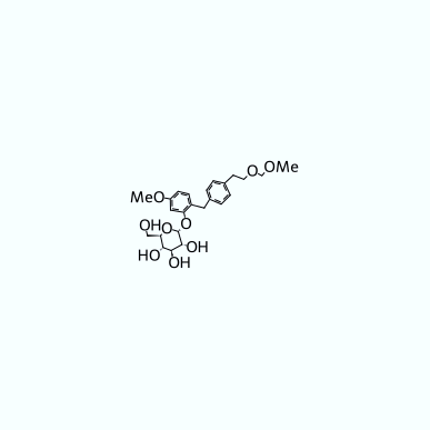 COCOCCc1ccc(Cc2ccc(OC)cc2O[C@H]2O[C@H](CO)[C@@H](O)[C@H](O)[C@H]2O)cc1